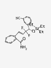 CC[Si](CC)(CC)OC(c1cccc(C#N)c1)C(F)(F)C=Cc1ccccc1C(N)=O